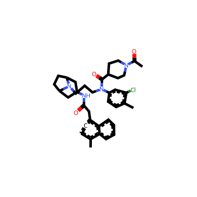 CC(=O)N1CCC(C(=O)N(CCCN2C3CCC2CC(NC(=O)Cc2ccc(C)c4ccccc24)C3)c2ccc(C)c(Cl)c2)CC1